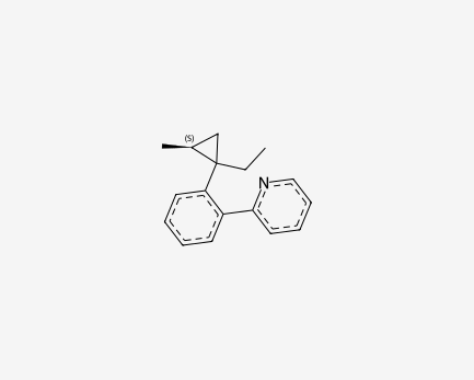 CCC1(c2ccccc2-c2ccccn2)C[C@@H]1C